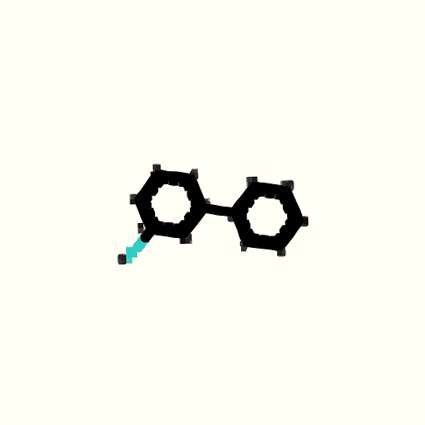 Fc1c[c]cc(-c2ccccc2)c1